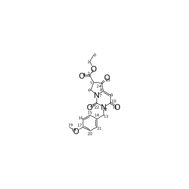 CCOC(=O)C1Cn2c(cc(=O)n(Cc3ccc(OC)cc3)c2=O)C1=O